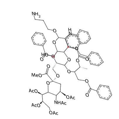 COC(=O)[C@@]1(OC[C@H](OC(=O)c2ccccc2)C(OC2C(CO)OC(OCCCN)C(Nc3ccccc3)C2OCc2ccccc2)OC(COC(=O)c2ccccc2)[C@@H](C)OC(=O)c2ccccc2)C[C@@H](OC(C)=O)C(NC(C)=O)C([C@H](OC(C)=O)[C@@H](COC(C)=O)OC(C)=O)O1